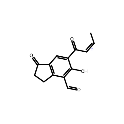 C/C=C\C(=O)c1cc2c(c(C=O)c1O)CCC2=O